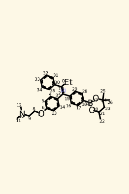 CC/C(=C(/c1ccc(OCCN(C)C)cc1)c1ccc(B2OC(C)CC(C)(C)O2)cc1)c1ccccc1